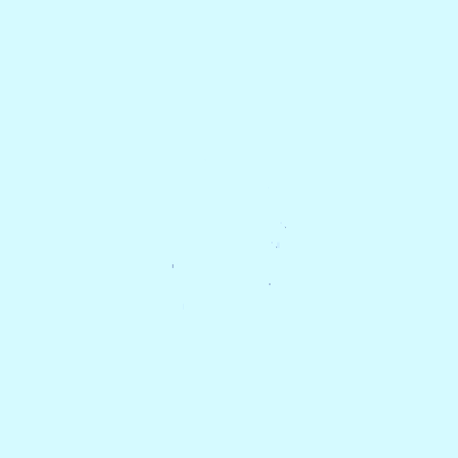 CCc1cccc2c(-c3c(S)n[nH]c3-c3cc(C(C)C)c(O)cc3O)cccc12